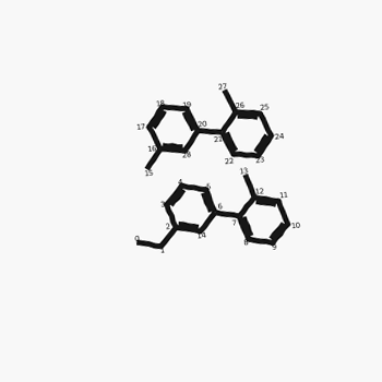 CCc1cccc(-c2ccccc2C)c1.Cc1cccc(-c2ccccc2C)c1